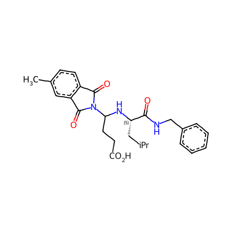 Cc1ccc2c(c1)C(=O)N(C(CCC(=O)O)N[C@@H](CC(C)C)C(=O)NCc1ccccc1)C2=O